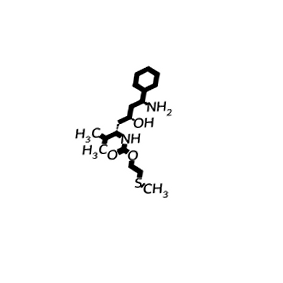 CSCCOC(=O)N[C@@H](C[C@@H](O)C[C@H](N)C1CCCCC1)C(C)C